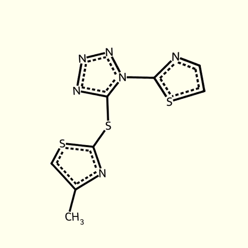 Cc1csc(Sc2nnnn2-c2nccs2)n1